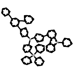 c1ccc(-c2ccc(-c3ccc(N(c4ccc(-c5cccc6c5c5ccccc5n6-c5ccccc5)cc4)c4cccc([Si](c5ccccc5)(c5ccccc5)c5ccccc5)c4)cc3)c(-c3ccccc3)c2)cc1